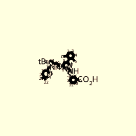 Cc1cccc(C)c1-c1cc(OCC(CC(C)(C)C)NCC2CCC(C)(C)CO2)nc(NSc2cccc(C(=O)O)c2)n1